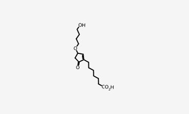 O=C(O)CCCCCCC1=CC(OCCCCO)CC1=O